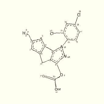 Cc1cc2c(s1)-c1c(c(OC(=O)O)nn1-c1ccc(Cl)cc1Cl)C2